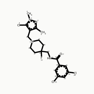 Cc1nn(C)c(Cl)c1CN1CCC(F)(CNC(=O)c2cc(Cl)cc(Cl)c2)CC1